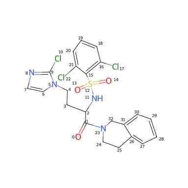 O=C(C(CCn1ccnc1Cl)NS(=O)(=O)c1c(Cl)cccc1Cl)N1CCc2ccccc2C1